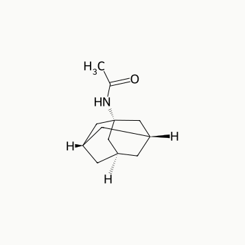 CC(=O)N[C@]12C[C@H]3C[C@H](C[C@H](C3)C1)C2